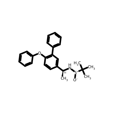 C[C@H](N[S+]([O-])C(C)(C)C)c1ccc(Oc2ccccc2)c(-c2ccccc2)c1